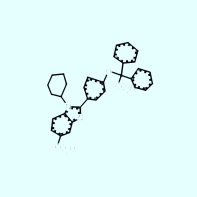 O=C(O)c1ccc2c(c1)nc(-c1ccc(OC(C(=O)O)(c3ccccc3)c3ccccc3)cc1)n2C1CCCCC1